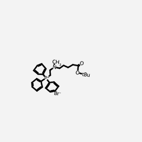 CN(CCCCC(=O)OC(C)(C)C)CC[P+](c1ccccc1)(c1ccccc1)c1ccccc1.[Br-]